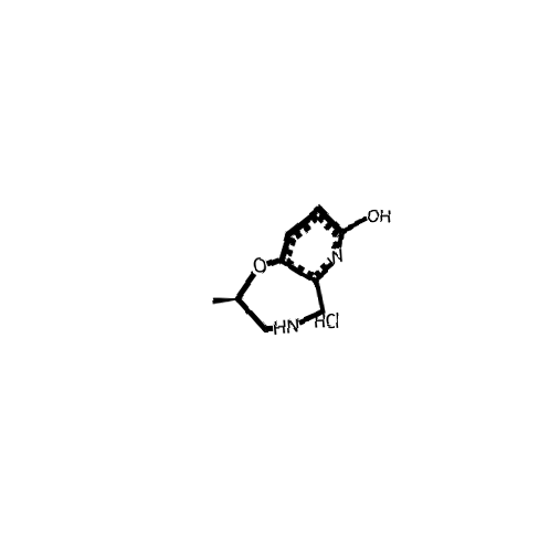 C[C@@H]1CNCc2nc(O)ccc2O1.Cl